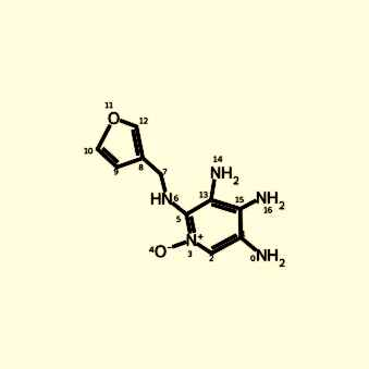 Nc1c[n+]([O-])c(NCc2ccoc2)c(N)c1N